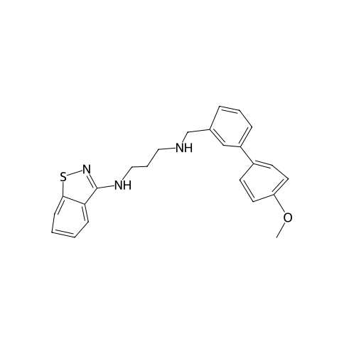 COc1ccc(-c2cccc(CNCCCNc3nsc4ccccc34)c2)cc1